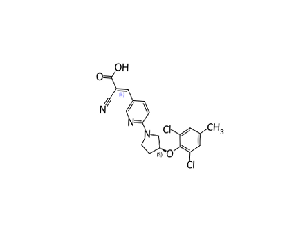 Cc1cc(Cl)c(O[C@H]2CCN(c3ccc(/C=C(\C#N)C(=O)O)cn3)C2)c(Cl)c1